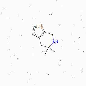 CC1(C)Cc2ccsc2CN1